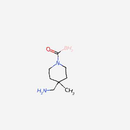 BC(=O)N1CCC(C)(CN)CC1